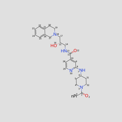 CCCC(=O)N1CCC(Nc2cc(C(=O)NC[C@H](O)CN3CCc4ccccc4C3)ccn2)CC1